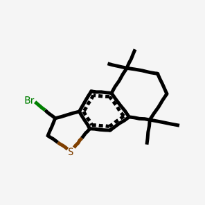 CC1(C)CCC(C)(C)c2cc3c(cc21)SCC3Br